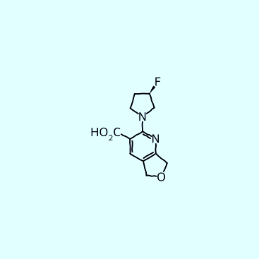 O=C(O)c1cc2c(nc1N1CC[C@@H](F)C1)COC2